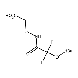 CC(C)(C)OC(F)(F)C(=O)NOCC(=O)O